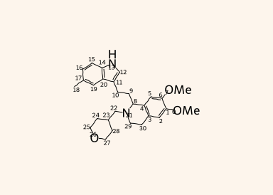 COc1cc2c(cc1OC)C(CCc1c[nH]c3ccc(C)cc13)N(CC1CCOCC1)CC2